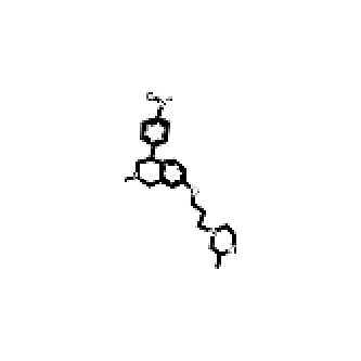 CC1CN(CCCOc2ccc3c(c2)CN(C)CC3c2ccc([S+](C)[O-])cc2)CCO1